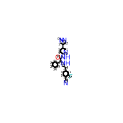 Cn1cc(-c2ccc(NC(=O)C(NCCc3ccc(C#N)c(F)c3)c3ccccc3)nc2)cn1